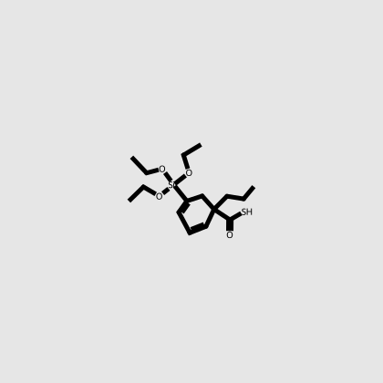 CCCC1(C(=O)S)C=CC=C([Si](OCC)(OCC)OCC)C1